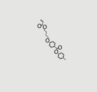 C=CC(=O)OCCCCOc1ccc(C(=O)Oc2ccc(C)cc2)cc1